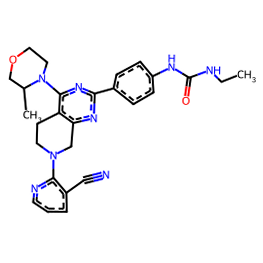 CCNC(=O)Nc1ccc(-c2nc3c(c(N4CCOCC4C)n2)CCN(c2ncccc2C#N)C3)cc1